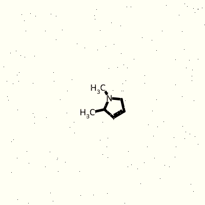 CC1[C]=CCN1C